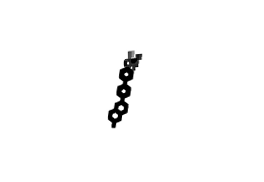 CC1CCC2CC(c3ccc(-c4ccc(OC(F)(F)F)cc4)cc3)CCC2C1